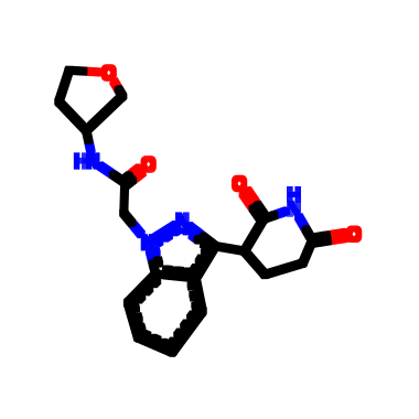 O=C1CCC(c2nn(CC(=O)NC3CCOC3)c3ccccc23)C(=O)N1